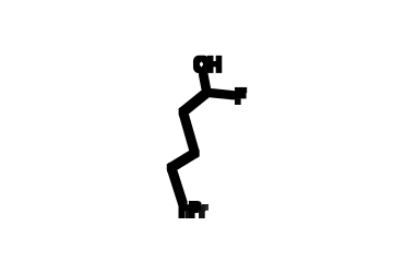 CCCCCCC(O)F